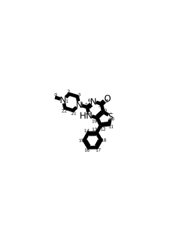 CN1CCN(c2nc(=O)c3scc(-c4ccccc4)c3[nH]2)CC1